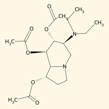 CCN(CC)[C@H]1CN2CC[C@H](OC(C)=O)C2[C@@H](OC(C)=O)[C@@H]1OC(C)=O